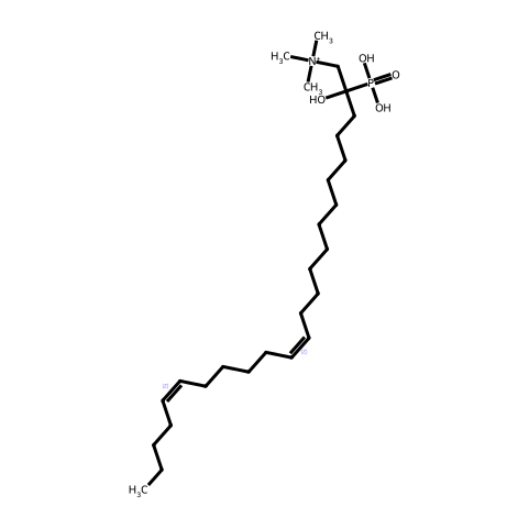 CCCC/C=C\CCCC/C=C\CCCCCCCCCCC(O)(C[N+](C)(C)C)P(=O)(O)O